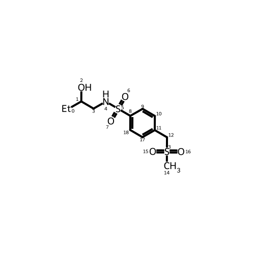 CCC(O)CNS(=O)(=O)c1ccc(CS(C)(=O)=O)cc1